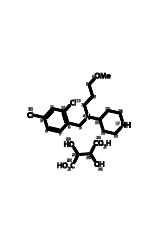 COCCCN(Cc1ccc(Cl)cc1Cl)C1CCNCC1.O=C(O)C(O)C(O)C(=O)O